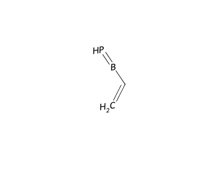 C=CB=P